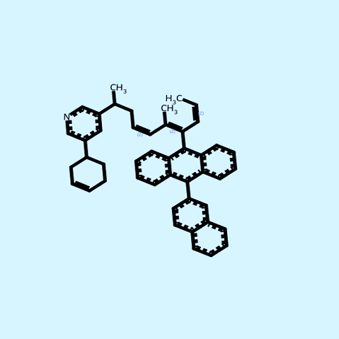 C\C=C/C(=C(C)/C=C\CC(C)c1cncc(C2CC=CCC2)c1)c1c2ccccc2c(-c2ccc3ccccc3c2)c2ccccc12